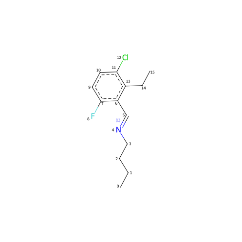 CCCC/N=C/c1c(F)ccc(Cl)c1CC